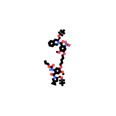 C=CCOC(=O)Nc1cc(OCCCCCOc2cc([N+](=O)[O-])c(C(=O)N3Cc4ccccc4C[C@H]3CO[Si](C)(C)C(C)(C)C)cc2OC)c(OC)cc1C(=O)N1CC2(CC2)C[C@H]1CO[Si](C)(C)C(C)(C)C